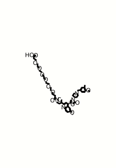 COc1ccc2nc(C3CCN(C(=O)CCOCCOCCOCCOCCOCCOCCC(=O)O)CC3)cc([C@H]3CN(C4CCN(Cc5ccc(OC)c(C)c5)CC4)C(=O)O3)c2c1